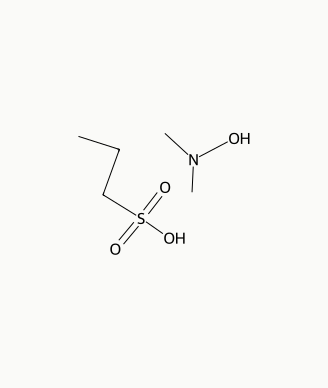 CCCS(=O)(=O)O.CN(C)O